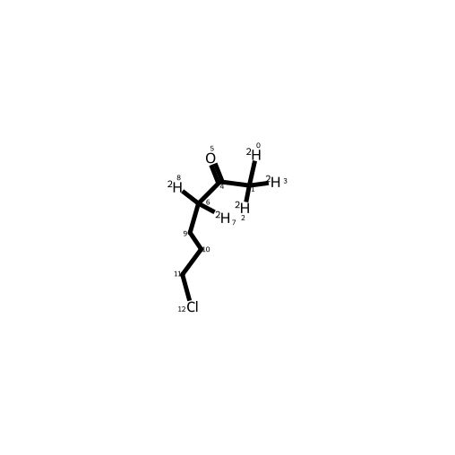 [2H]C([2H])([2H])C(=O)C([2H])([2H])CCCCl